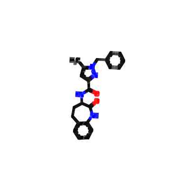 Cc1cc(C(=O)NC2CCc3ccccc3NC2=O)nn1Cc1ccccc1